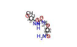 COc1ccc(C(=N)OC(=N)C(=O)N2CC(Oc3ccc(C(N)=O)cc3)C2)cc1